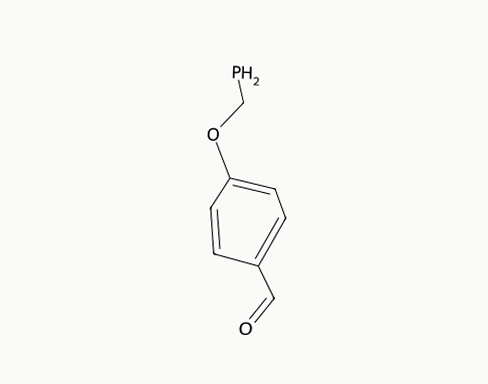 O=Cc1ccc(OCP)cc1